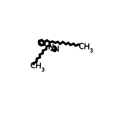 CCCCCCCCCCCCC(Cc1ccccc1)C(CCCCCCCCCC)n1ccnc1